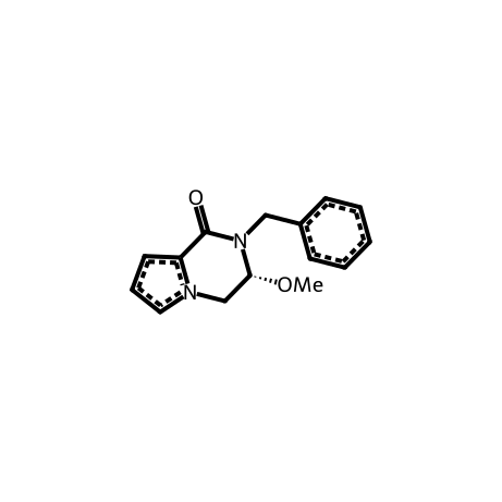 CO[C@@H]1Cn2cccc2C(=O)N1Cc1ccccc1